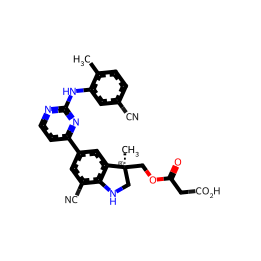 Cc1ccc(C#N)cc1Nc1nccc(-c2cc(C#N)c3c(c2)[C@@](C)(COC(=O)CC(=O)O)CN3)n1